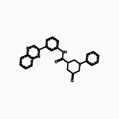 O=C1CC(C(=O)Nc2cccc(-c3cnc4ccccc4n3)c2)CN(c2ccccc2)C1